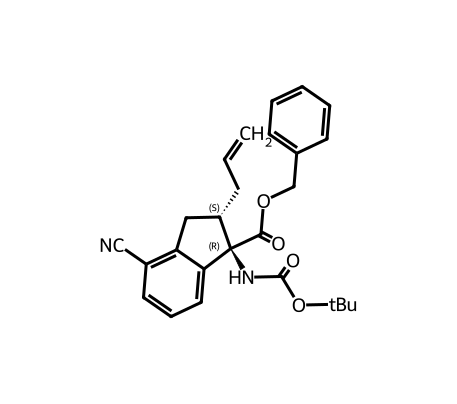 C=CC[C@H]1Cc2c(C#N)cccc2[C@@]1(NC(=O)OC(C)(C)C)C(=O)OCc1ccccc1